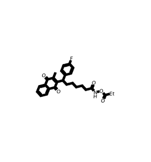 CCC(=O)ONC(=O)CCCCCC(C1=C(C)C(=O)c2ccccc2C1=O)c1ccc(F)cc1